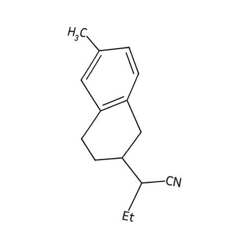 CCC(C#N)C1CCc2cc(C)ccc2C1